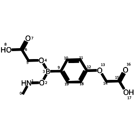 CNOB(OCC(=O)O)c1ccc(OCC(=O)O)cc1